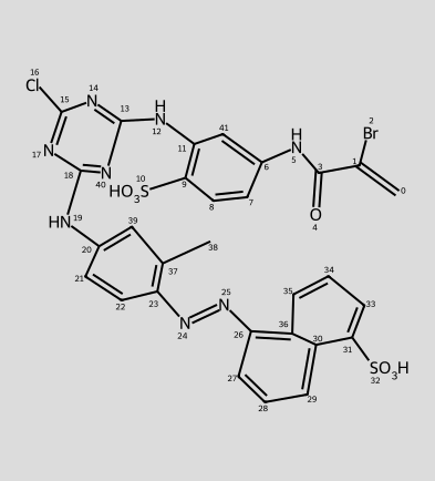 C=C(Br)C(=O)Nc1ccc(S(=O)(=O)O)c(Nc2nc(Cl)nc(Nc3ccc(N=Nc4cccc5c(S(=O)(=O)O)cccc45)c(C)c3)n2)c1